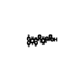 COc1cc(OC)c(OC)cc1/C=C/C(=O)c1cccc(OCC(=O)O)c1